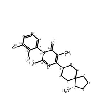 Cc1c(N2CCC3(CCC[C@@H]3N)CC2)nc(N)n(-c2cccc(Cl)c2Cl)c1=O